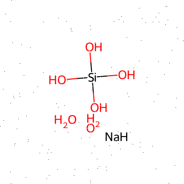 O.O.O[Si](O)(O)O.[NaH]